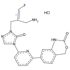 Cl.NC/C(=C\F)Cn1ncn(-c2cccc(-c3ccc4c(c3)NC(=O)OC4)n2)c1=O